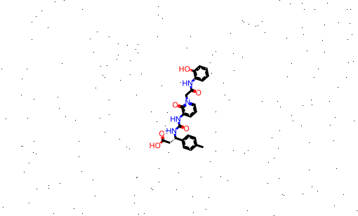 Cc1ccc([C@H](CC(=O)O)NC(=O)Nc2cccn(CC(=O)Nc3ccccc3O)c2=O)cc1